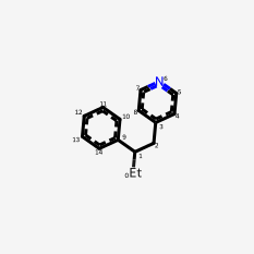 CCC(Cc1ccncc1)c1ccccc1